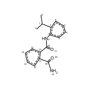 CC(C)c1ccccc1NC(=O)c1ccccc1C(N)=O